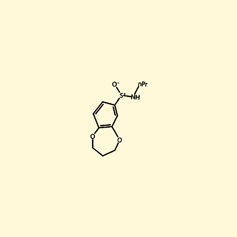 CCCN[S+]([O-])c1ccc2c(c1)OCCCO2